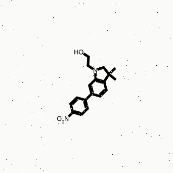 CC1(C)CN(CCO)c2cc(-c3ccc([N+](=O)[O-])cc3)ccc21